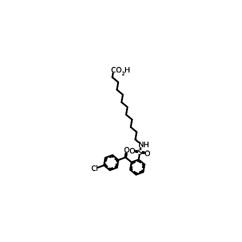 O=C(O)CCCCCCCCCCCNS(=O)(=O)c1ccccc1C(=O)c1ccc(Cl)cc1